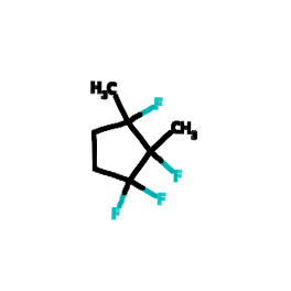 CC1(F)CCC(F)(F)C1(C)F